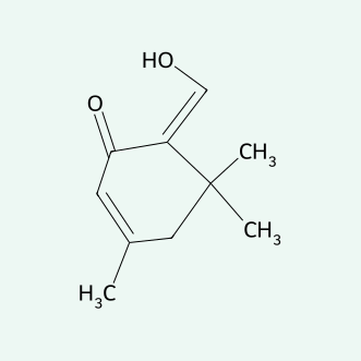 CC1=CC(=O)/C(=C\O)C(C)(C)C1